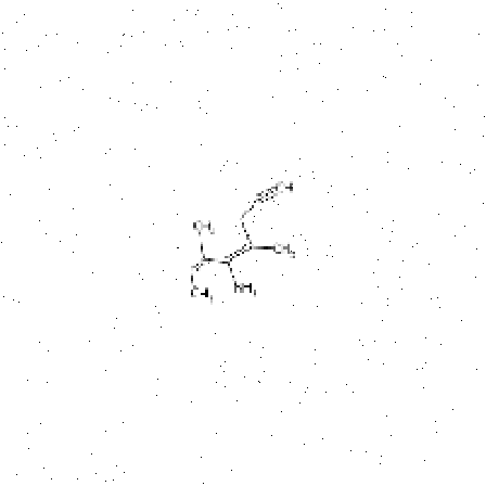 C#CC/C(C)=C(N)\C(C)=C/C